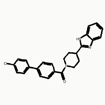 O=C(c1ccc(-c2ccc(Cl)cc2)cc1)N1CCC(c2nc3ccccc3[nH]2)CC1